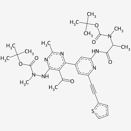 CC(=O)c1c(NN(C)C(=O)OC(C)(C)C)nc(C)nc1-c1cc(C#Cc2cccs2)nc(NC(=O)C(C)N(C)C(=O)OC(C)(C)C)c1